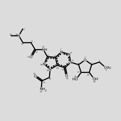 CC(=O)OCC1OC(n2nnc3c(NC(=O)CCN(C)C)nn(CC(N)=O)c3c2=O)C(O)C1O